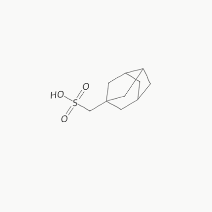 O=S(=O)(O)CC12CC3CC(C1)C(C3)C2